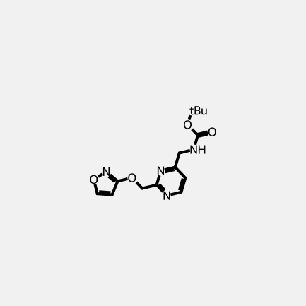 CC(C)(C)OC(=O)NCc1ccnc(COc2ccon2)n1